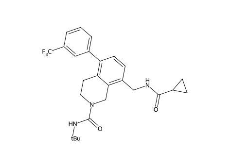 CC(C)(C)NC(=O)N1CCc2c(-c3cccc(C(F)(F)F)c3)ccc(CNC(=O)C3CC3)c2C1